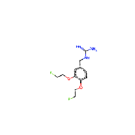 N=C(N)NCc1ccc(OCCF)c(OCCF)c1